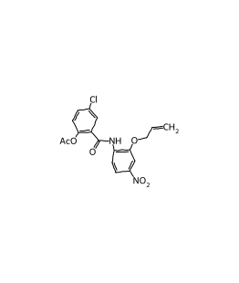 C=CCOc1cc([N+](=O)[O-])ccc1NC(=O)c1cc(Cl)ccc1OC(C)=O